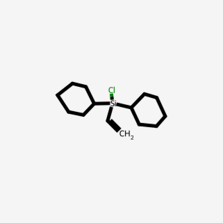 C=C[Si](Cl)(C1CCCCC1)C1CCCCC1